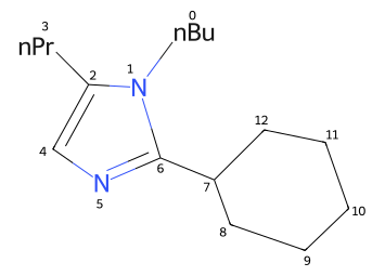 CCCCn1c(CCC)cnc1C1CCCCC1